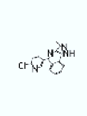 Cc1n[nH]c2c1nc(-c1ccc(Cl)nc1)c1ccccc12